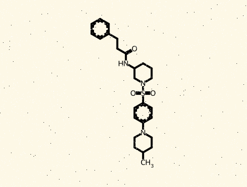 CC1CCN(c2ccc(S(=O)(=O)N3CCCC(NC(=O)CCc4ccccc4)C3)cc2)CC1